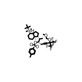 COCOC(C#CC[C@H](OS(=O)(=O)c1ccc(C)cc1)C(C)[C@H]1CC[C@H]2[C@@H]([Si](C)(C)C(C)(C)C)CCC[C@]12C)(C(F)(F)F)C(F)(F)F